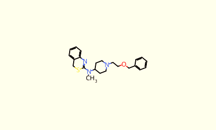 CN(C1=Nc2ccccc2CS1)C1CCN(CCOCc2ccccc2)CC1